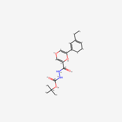 CCC1=CCCC(C2=COC=C(C(=O)NNC(=O)OC(C)(C)C)O2)=C1